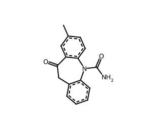 Cc1ccc2c(c1)C(=O)Cc1ccccc1N2C(N)=O